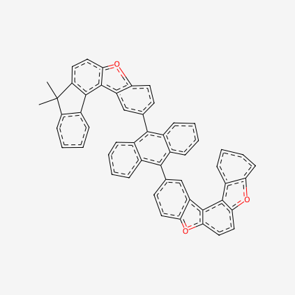 CC1(C)c2ccccc2-c2c1ccc1oc3ccc(-c4c5ccccc5c(-c5ccc6oc7ccc8oc9ccccc9c8c7c6c5)c5ccccc45)cc3c21